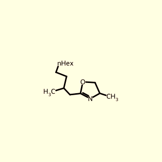 CCCCCCCCC(C)CC1=NC(C)CO1